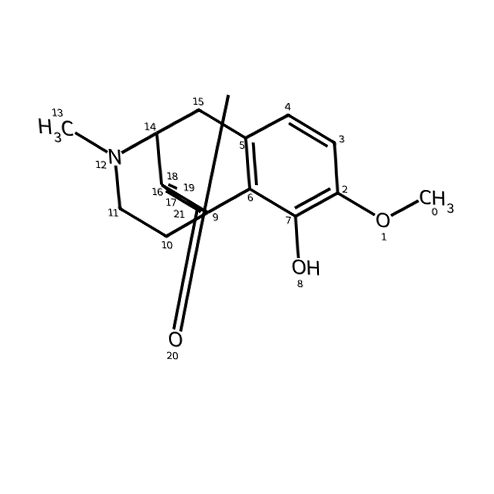 COc1ccc2c(c1O)C13CCN(C)C(C2)C1C=CC(=O)C3